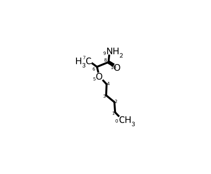 CCCCCOC(C)C(N)=O